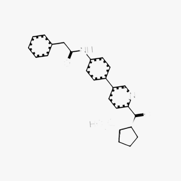 O=C(Cc1ccccc1)Nc1ccc(-c2ccc(C(=O)[C@H]3CCC[C@@H]3C(=O)O)nc2)cc1